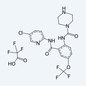 O=C(Nc1ccc(Cl)cn1)c1cc(OC(F)(F)F)ccc1NC(=O)N1CCNCC1.O=C(O)C(F)(F)F